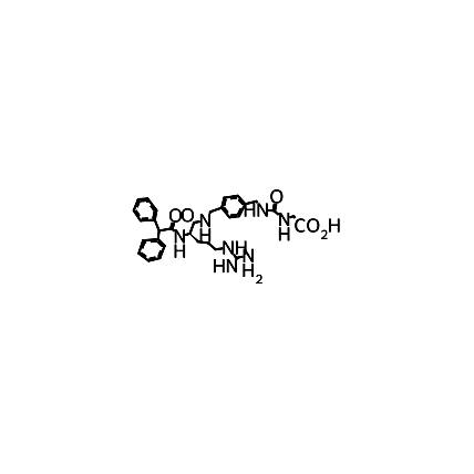 N=C(N)NCCC[C@@H](NC(=O)C(c1ccccc1)c1ccccc1)C(=O)NCc1ccc(CNC(=O)NCC(=O)O)cc1